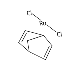 C1=CC2C=CC1C2.[Cl][Ru][Cl]